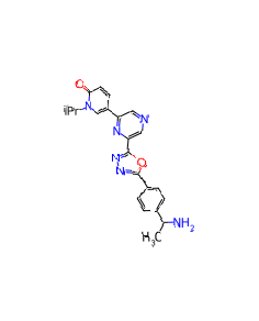 CC(N)c1ccc(-c2nnc(-c3cncc(-c4ccc(=O)n(C(C)C)c4)n3)o2)cc1